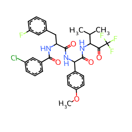 COc1ccc(C(NC(=O)C(Cc2cccc(F)c2)NC(=O)c2cccc(Cl)c2)C(=O)NC(C(=O)C(F)(F)F)C(C)C)cc1